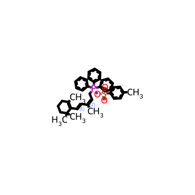 CC1=C(/C=C/C(C)=C\CP(OS(=O)(=O)c2ccc(C)cc2)(c2ccccc2)(c2ccccc2)c2ccccc2)C(C)(C)CCC1